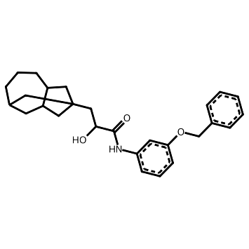 O=C(Nc1cccc(OCc2ccccc2)c1)C(O)CC12CC3CCCC(C1)C(C3)C2